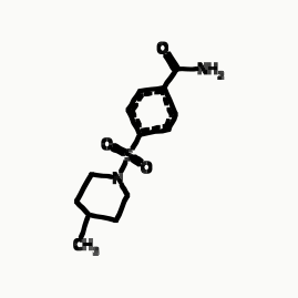 CC1CCN(S(=O)(=O)c2ccc(C(N)=O)cc2)CC1